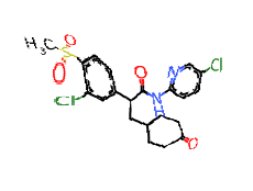 CS(=O)(=O)c1ccc(C(CC2CCC(=O)CC2)C(=O)Nc2ccc(Cl)cn2)cc1Cl